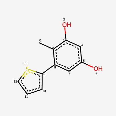 Cc1c(O)cc(O)cc1-c1cccs1